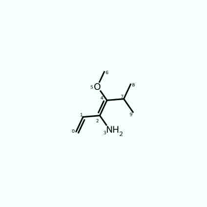 C=CC(N)=C(OC)C(C)C